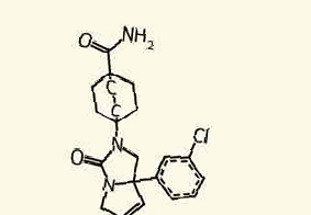 NC(=O)C12CCC(N3CC4(c5cccc(Cl)c5)C=CCN4C3=O)(CC1)CC2